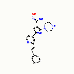 NC(=NO)c1cc(-c2ccnc(C=Cc3ccccc3)c2)[nH]c1N1CCNCC1